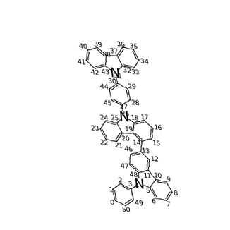 c1ccc(-n2c3ccccc3c3cc(-c4cccc5c4c4ccccc4n5-c4ccc(-n5c6ccccc6c6ccccc65)cc4)ccc32)cc1